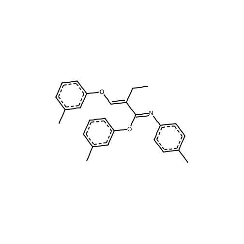 CCC(=C\Oc1cccc(C)c1)/C(=N/c1ccc(C)cc1)Oc1cccc(C)c1